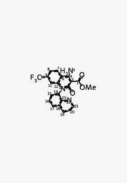 COC(=O)c1c(N)c2ccc(C(F)(F)F)cc2n(-c2cccc3cccnc23)c1=O